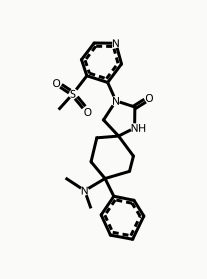 CN(C)C1(c2ccccc2)CCC2(CC1)CN(c1cnccc1S(C)(=O)=O)C(=O)N2